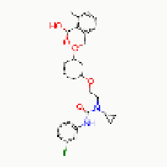 Cc1cccc(COC2CCCC(OCCN(C(=O)Nc3cccc(F)c3)C3CC3)C2)c1C(=O)O